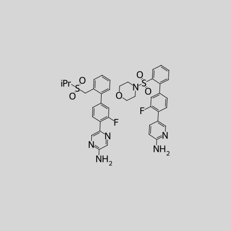 CC(C)S(=O)(=O)Cc1ccccc1-c1ccc(-c2cnc(N)cn2)c(F)c1.Nc1ccc(-c2ccc(-c3ccccc3S(=O)(=O)N3CCOCC3)cc2F)cn1